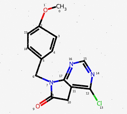 COc1ccc(CN2C(=O)Cc3c(Cl)ncnc32)cc1